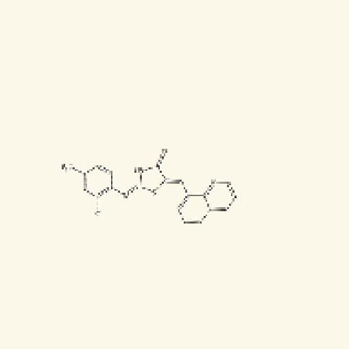 O=C1NC(=Nc2ccc(C(F)(F)F)cc2Cl)SC1=Cc1cccc2cccnc12